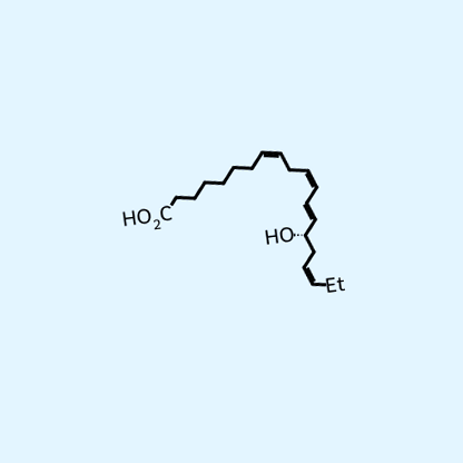 CC/C=C\C[C@H](O)/C=C/C=C\C/C=C\CCCCCCC(=O)O